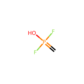 C=P(O)(F)F